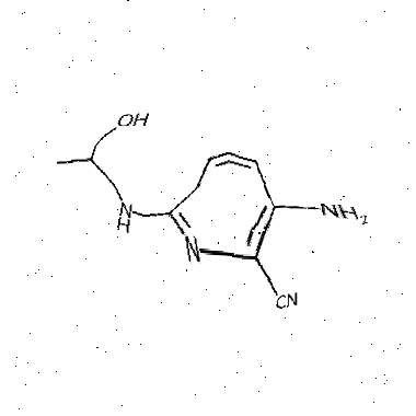 CC(O)Nc1ccc(N)c(C#N)n1